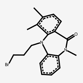 Cc1ccc2c(c1C)N(CCCBr)c1ccccc1N(C)C2=O